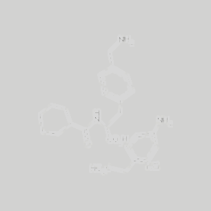 Cl.NCc1ccc(CC(NC(=O)C2CCCCC2)C(=O)O)cc1.Nc1ccc(CC(=O)O)cc1